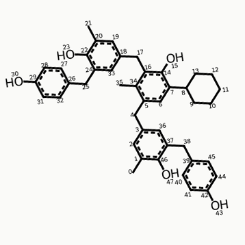 Cc1cc(Cc2cc(C3CCCCC3)c(O)c(Cc3cc(C)c(O)c(Cc4ccc(O)cc4)c3)c2C)cc(Cc2ccc(O)cc2)c1O